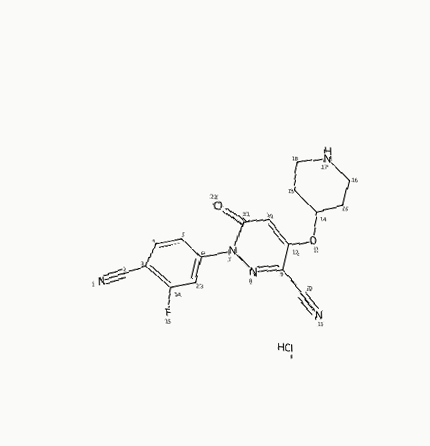 Cl.N#Cc1ccc(-n2nc(C#N)c(OC3CCNCC3)cc2=O)cc1F